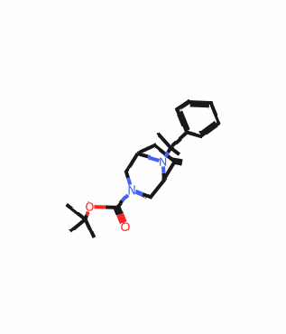 C=C1CC2CN(C(=O)OC(C)(C)C)CC1N2C(C)(C)c1ccccc1